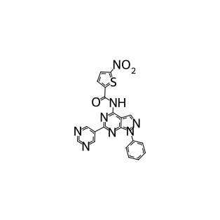 O=C(Nc1nc(-c2cncnc2)nc2c1cnn2-c1ccccc1)c1ccc([N+](=O)[O-])s1